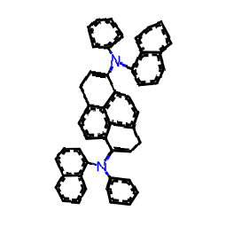 C1=C(N(c2ccccc2)c2cccc3ccccc23)c2ccc3c4c(ccc(c24)C1)C(N(c1ccccc1)c1cccc2ccccc12)=CC3